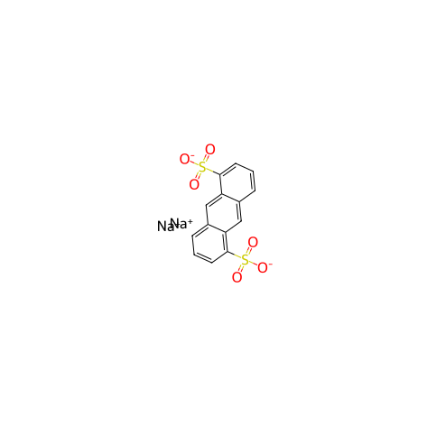 O=S(=O)([O-])c1cccc2cc3c(S(=O)(=O)[O-])cccc3cc12.[Na+].[Na+]